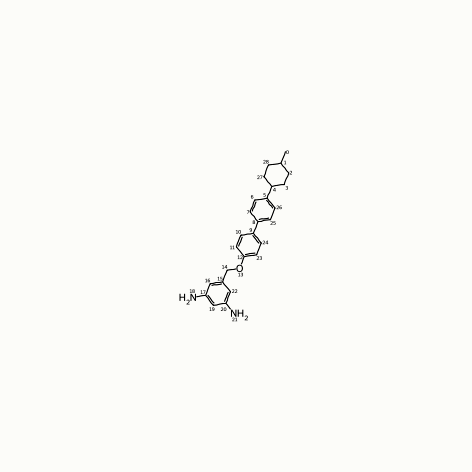 CC1CCC(c2ccc(-c3ccc(OCc4cc(N)cc(N)c4)cc3)cc2)CC1